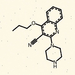 CCCOc1c(C#N)c(N2CCNCC2)nc2ccccc12